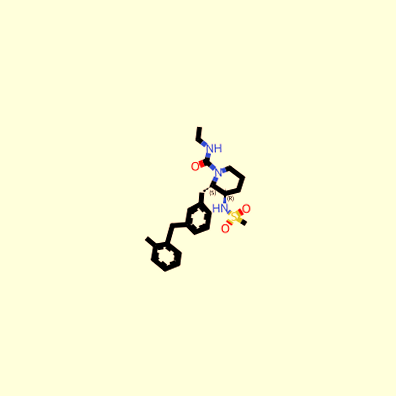 CCNC(=O)N1CCC[C@@H](NS(C)(=O)=O)[C@@H]1Cc1cccc(Cc2ccccc2C)c1